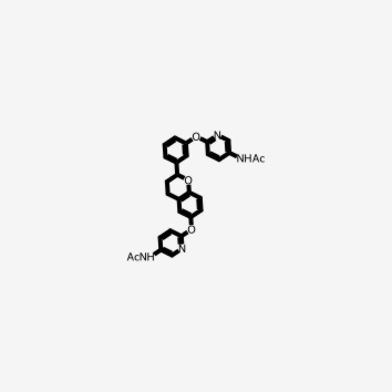 CC(=O)Nc1ccc(Oc2cccc(C3CCc4cc(Oc5ccc(NC(C)=O)cn5)ccc4O3)c2)nc1